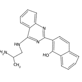 CC(N)CNc1nc(-c2ccc3ccccc3c2O)nc2ccccc12